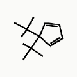 CC(C)(C)C1(C(C)(C)C)[C]=CC=C1